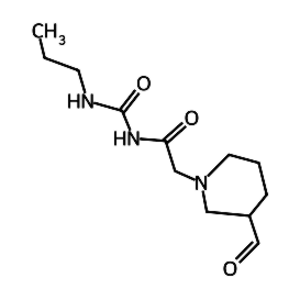 CCCNC(=O)NC(=O)CN1CCCC(C=O)C1